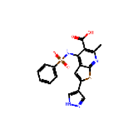 Cc1nc2sc(-c3cn[nH]c3)cc2c(NS(=O)(=O)c2ccccc2)c1C(=O)O